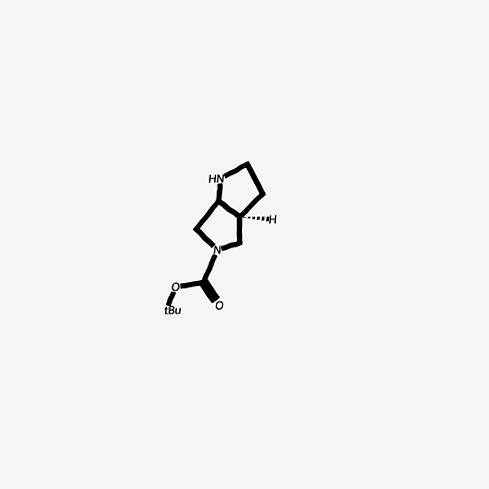 CC(C)(C)OC(=O)N1CC2NCC[C@H]2C1